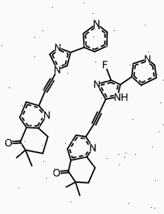 CC1(C)CCc2nc(C#Cc3nc(F)c(-c4cccnc4)[nH]3)ccc2C1=O.CC1(C)CCc2nc(C#Cn3cnc(-c4cccnc4)c3)ccc2C1=O